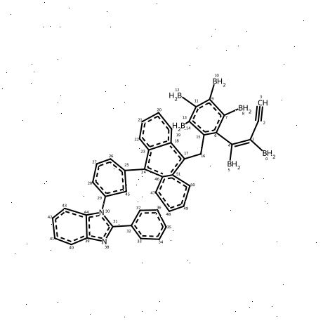 B/C(C#C)=C(\B)c1c(B)c(B)c(B)c(B)c1Cc1c2ccccc2c(-c2cccc(-n3c(-c4ccccc4)nc4ccccc43)c2)c2ccccc12